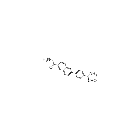 NCC(=O)c1ccc2cc(-c3ccc(C(N)C=O)cc3)ccc2c1